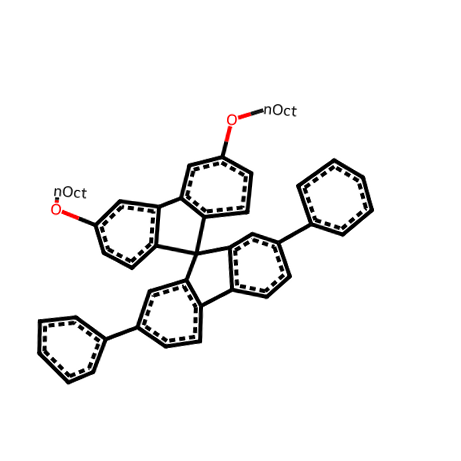 CCCCCCCCOc1ccc2c(c1)-c1cc(OCCCCCCCC)ccc1C21c2cc(-c3ccccc3)ccc2-c2ccc(-c3ccccc3)cc21